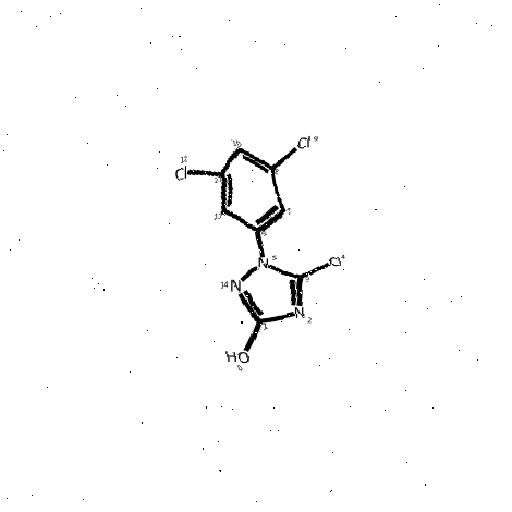 Oc1nc(Cl)n(-c2cc(Cl)cc(Cl)c2)n1